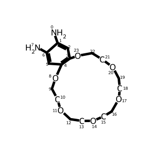 Nc1cc2c(cc1N)OCCOCCOCCOCCOCCO2